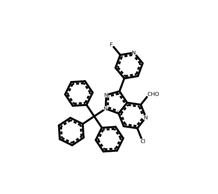 O=Cc1nc(Cl)cc2c1c(-c1ccnc(F)c1)nn2C(c1ccccc1)(c1ccccc1)c1ccccc1